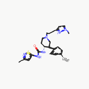 COc1ccc(C2CN(Cc3ccn(C)n3)CC[C@H]2NC(=O)Nc2cc(C)ns2)cc1